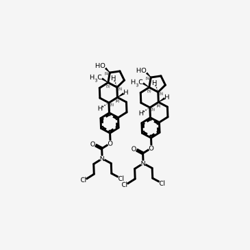 C[C@]12CC[C@@H]3c4ccc(OC(=O)N(CCCl)CCCl)cc4CC[C@H]3[C@@H]1CC[C@@H]2O.C[C@]12CC[C@@H]3c4ccc(OC(=O)N(CCCl)CCCl)cc4CC[C@H]3[C@@H]1CC[C@@H]2O